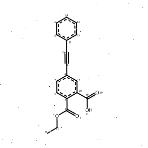 CCOC(=O)c1ccc(C#Cc2ccccc2)cc1C(=O)O